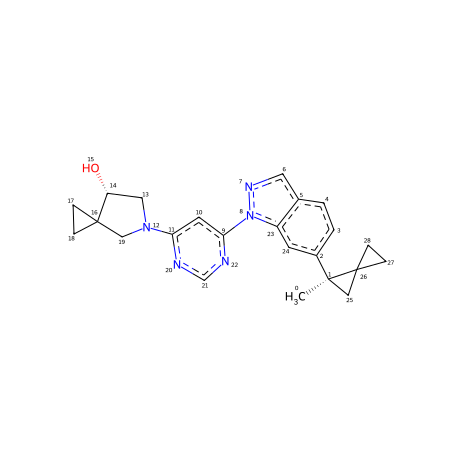 C[C@@]1(c2ccc3cnn(-c4cc(N5C[C@@H](O)C6(CC6)C5)ncn4)c3c2)CC12CC2